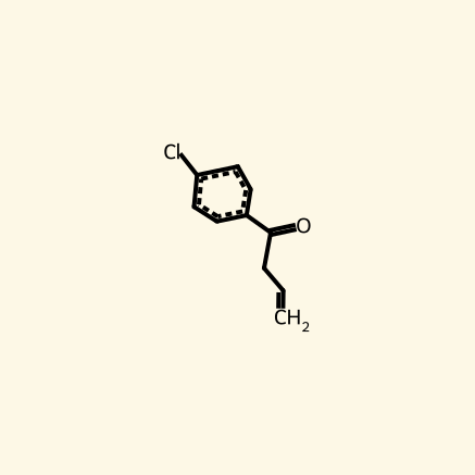 C=CCC(=O)c1ccc(Cl)cc1